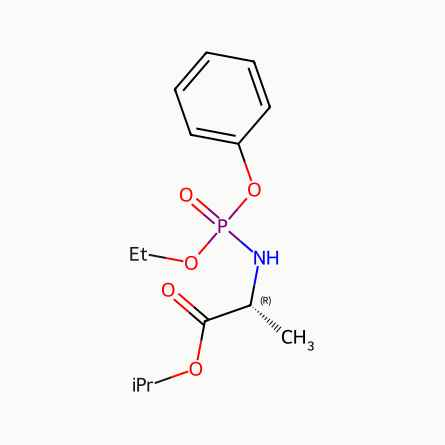 CCOP(=O)(N[C@H](C)C(=O)OC(C)C)Oc1ccccc1